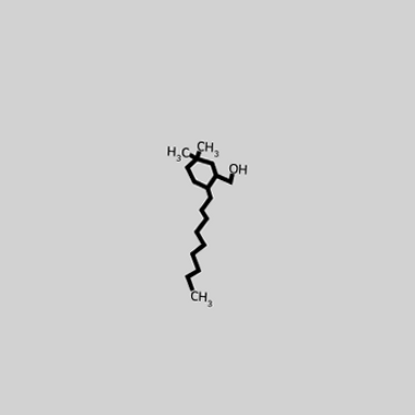 CCCCCCCCCC1CCC(C)(C)CC1CO